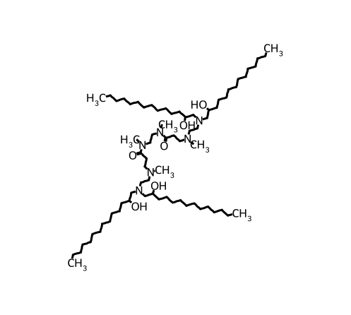 CCCCCCCCCCCCC(O)CN(CCN(C)CCC(=O)N(C)CCN(C)C(=O)CCN(C)CCN(CC(O)CCCCCCCCCCCC)CC(O)CCCCCCCCCCCC)CC(O)CCCCCCCCCCCC